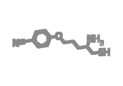 N#Cc1ccc(OCCC[C@@H](N)CS)cc1